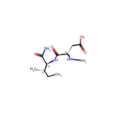 CC[C@H](C)[C@H](NC(=O)[C@H](CC(=O)O)NC)C(N)=O